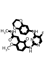 CNC(=O)C=C1C(=O)C(Nc2ncc(F)c(Nc3ccc4c(c3)OCCO4)n2)=CC=C1OC